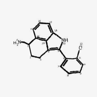 NC1CCc2c(-c3ccccc3Cl)[nH]c3cccc1c23